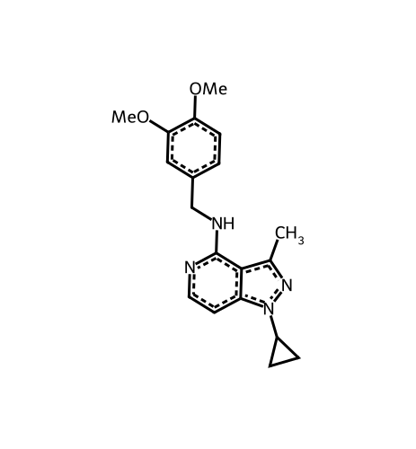 COc1ccc(CNc2nccc3c2c(C)nn3C2CC2)cc1OC